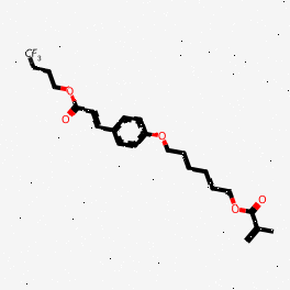 C=C(C)C(=O)OCCCCCCOc1ccc(/C=C/C(=O)OCCCC(F)(F)F)cc1